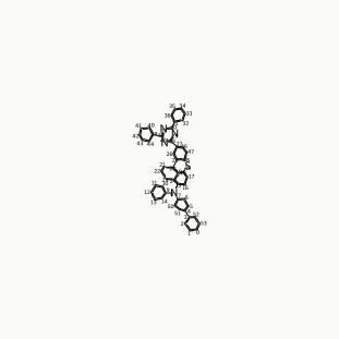 c1ccc(-c2ccc(N(c3ccccc3)c3ccc4c5c(cccc35)-c3cc(-c5nc(-c6ccccc6)nc(-c6ccccc6)n5)ccc3S4)cc2)cc1